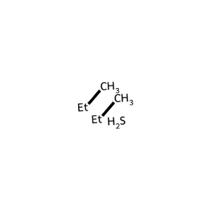 CCC.CCC.S